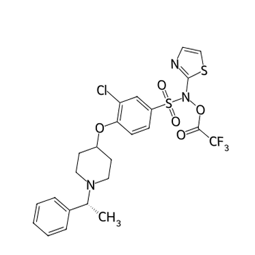 C[C@H](c1ccccc1)N1CCC(Oc2ccc(S(=O)(=O)N(OC(=O)C(F)(F)F)c3nccs3)cc2Cl)CC1